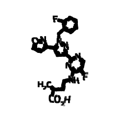 C=C(CCNc1nc(-c2cc(-c3ccon3)n(Cc3ccccc3F)n2)ncc1F)C(=O)O